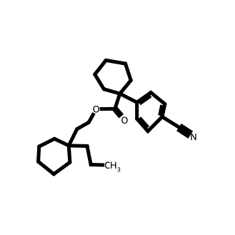 CCCC1(CCOC(=O)C2(c3ccc(C#N)cc3)CCCCC2)CCCCC1